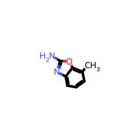 Cc1cccc2nc(N)oc12